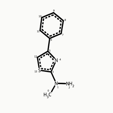 CN(N)c1nc(-c2ccccc2)cs1